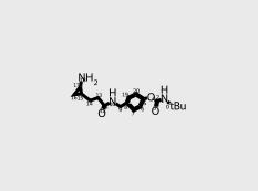 CC(C)(C)NC(=O)Oc1ccc(CNC(=O)CCC2CC2N)cc1